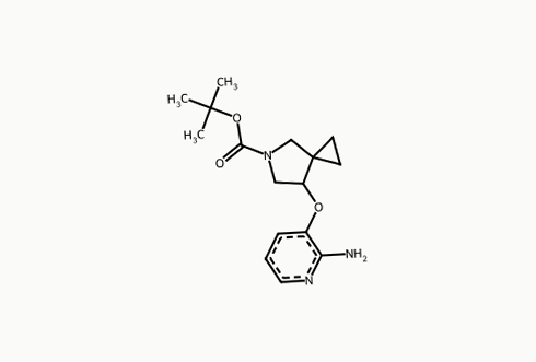 CC(C)(C)OC(=O)N1CC(Oc2cccnc2N)C2(CC2)C1